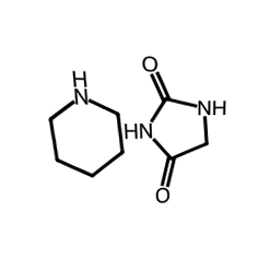 C1CCNCC1.O=C1CNC(=O)N1